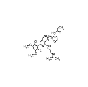 C=CC(=O)N[C@H]1CCOC[C@H]1Nc1ncc2cc(-c3c(Cl)c(OC)cc(OC)c3Cl)nc(NCCCNC(C)C)c2n1